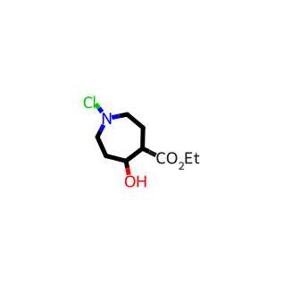 CCOC(=O)C1CCN(Cl)CCC1O